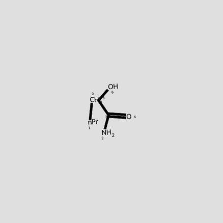 CCCC.NC(=O)CO